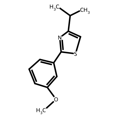 COc1cccc(-c2nc(C(C)C)cs2)c1